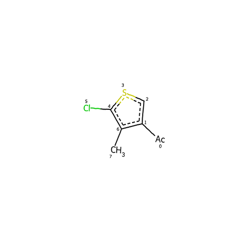 CC(=O)c1csc(Cl)c1C